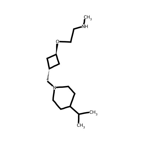 CNCCO[C@H]1C[C@H](CN2CCC(C(C)C)CC2)C1